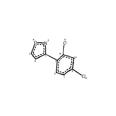 Clc1ccc(-c2ccon2)c(Cl)c1